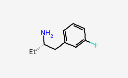 CC[C@H](N)Cc1cccc(F)c1